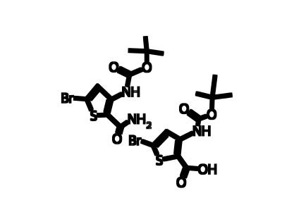 CC(C)(C)OC(=O)Nc1cc(Br)sc1C(=O)O.CC(C)(C)OC(=O)Nc1cc(Br)sc1C(N)=O